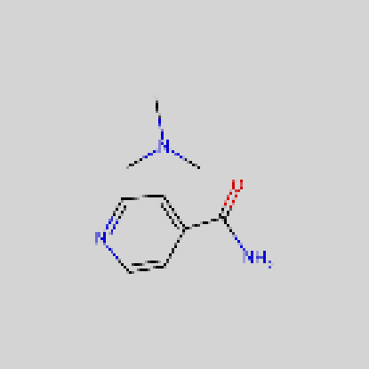 CN(C)C.NC(=O)c1ccncc1